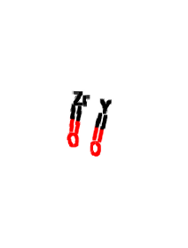 [O]=[Y].[O]=[Zr]